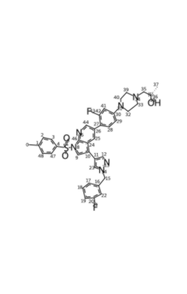 Cc1ccc(S(=O)(=O)n2cc(-c3cnn(Cc4cccc(F)c4)c3)c3cc(-c4ccc(N5CCN(C[C@H](C)O)CC5)cc4F)cnc32)cc1